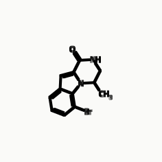 CC1CNC(=O)c2cc3cccc(Br)c3n21